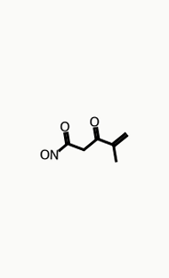 C=C(C)C(=O)CC(=O)N=O